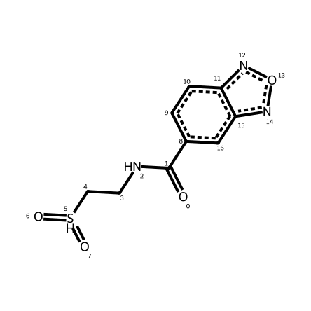 O=C(NCC[SH](=O)=O)c1ccc2nonc2c1